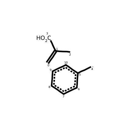 C=C(C)C(=O)O.[CH2]c1ccccc1